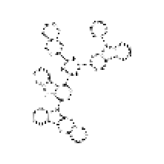 c1ccc(-n2c3ccccc3c3ccc(-c4nc(-c5ccc6ccccc6c5)nc(-c5ccc(-n6c7ccccc7c7cc8ccccc8cc76)c6sc7ccccc7c56)n4)cc32)cc1